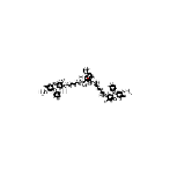 Cc1cc2nc3cc(C)c(NCCCCCCNC(=O)C45CC6CC(C4)CC(C(=O)NCCCCCCNc4cc7c(cc4C)nc4cc(C)c(N)cc4[n+]7-c4ccccc4)(C6)C5)cc3[n+](-c3ccccc3)c2cc1N.[Cl-].[Cl-]